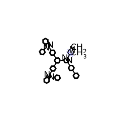 C=N/C=C\C(=C/C)c1nc(-c2ccc(-c3ccccc3)cc2)cc(-c2cc(-c3ccc(-c4nc5ccccc5n4-c4ccccc4)cc3)cc(-c3ccc(-c4nc5ccccc5n4-c4ccccc4)cc3)c2)n1